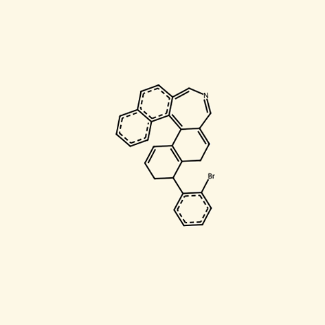 Brc1ccccc1C1CC=CC2=C1CC=C1C=NC=c3ccc4ccccc4c3=C12